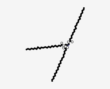 CCCCCCCCCCCCCCCCCCCCCC(=O)O/C=C(\COC(=O)CCCCCCCCCCCCCCCCCCCCC)OC(=O)CCCCCCCCCCCCCCCCCCCCC